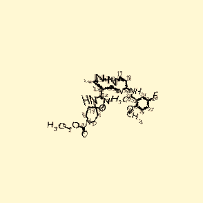 CCOC(=O)N1CCC2(CC1)NC(c1cnn3ccc(NC(C)c4cc(F)ccc4OC)nc13)=NO2